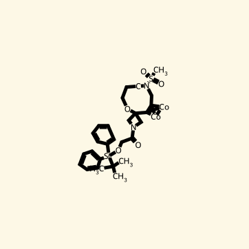 CC(C)(C)[Si](OCC(=O)N1CC2(C1)OCCCN(S(C)(=O)=O)C[C]13[Co]4[Co]1[C]423)(c1ccccc1)c1ccccc1